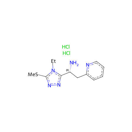 CCn1c(SC)nnc1[C@H](N)Cc1ccccn1.Cl.Cl